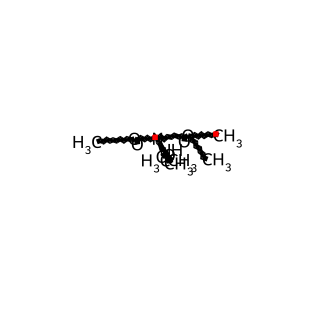 CCCCCCCCCCCOC(=O)CCCCCN(CCCCCCCC(=O)OC(CCCCCCCC)CCCCCCCC)CCCNC(=O)OC(C)(C)C